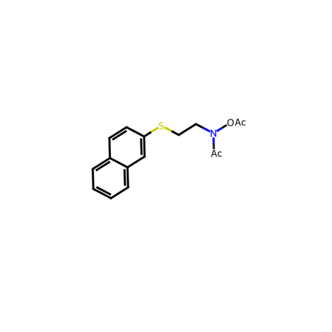 CC(=O)ON(CCSc1ccc2ccccc2c1)C(C)=O